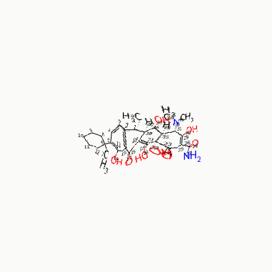 C[C@H]1c2ccc(C3(C)CCCCC3)c(O)c2C(=O)C2=C(O)[C@]3(O)C(=O)C(C(N)=O)=C(O)[C@@H](N(C)C)[C@@H]3[C@@H](O)[C@@H]21